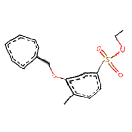 CCOS(=O)(=O)c1ccc(C)c(OCc2ccccc2)c1